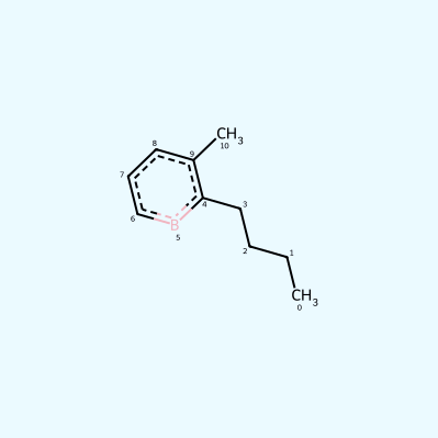 CCCCc1bcccc1C